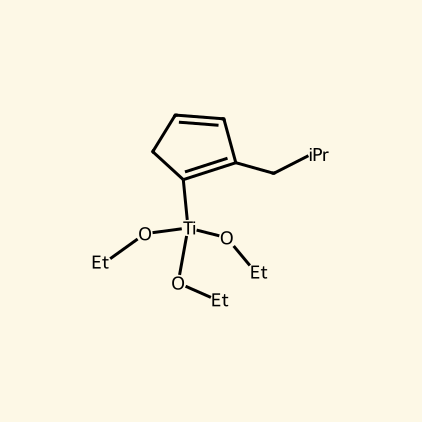 CC[O][Ti]([O]CC)([O]CC)[C]1=C(CC(C)C)C=CC1